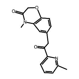 Cc1cccc(C(=O)Cc2ccc3c(c2)N(C)C(=O)CO3)n1